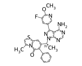 COc1ncc(-c2nn([C@@H](C)c3cc4scc(C)n4c(=O)c3-c3ccccc3)c3ncnc(N)c23)cc1F